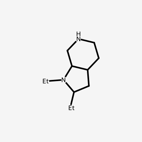 CCC1CC2CCNCC2N1CC